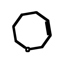 C1=CCOCCCC1